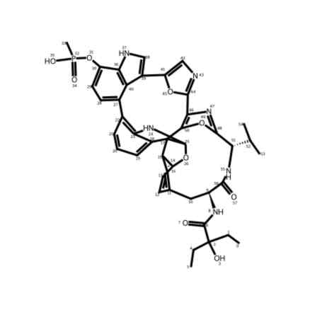 CCC(O)(CC)C(=O)N[C@H]1Cc2ccc3c(c2)C24c5cccc(c5NC2O3)-c2ccc(OP(C)(=O)O)c3[nH]cc(c23)-c2cnc(o2)-c2nc(oc24)[C@H](C(C)C)NC1=O